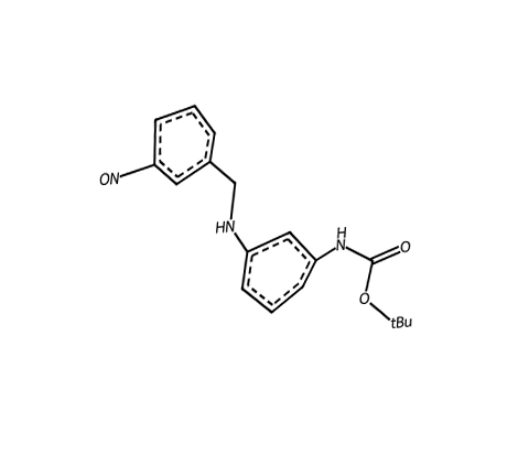 CC(C)(C)OC(=O)Nc1cccc(NCc2cccc(N=O)c2)c1